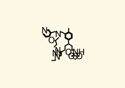 CCC1CN(Cc2cc(C(CCc3cn(CC)nn3)CC(=O)NS(C)(=O)=O)ccc2C)Cc2cnccc2O1